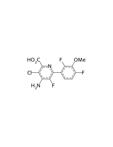 COc1c(F)ccc(-c2nc(C(=O)O)c(Cl)c(N)c2F)c1F